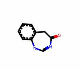 O=C1Cc2ccccc2[N]C=N1